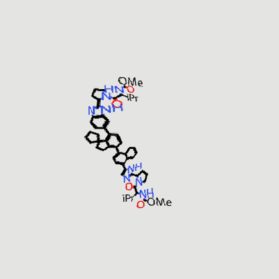 COC(=O)NC(C(=O)N1CCCC1c1ncc(-c2ccc(-c3ccc(-c4ccc5nc(C6CCCN6C(=O)C(NC(=O)OC)C(C)C)[nH]c5c4)c4c3CCC43CCCC3)c3ccccc23)[nH]1)C(C)C